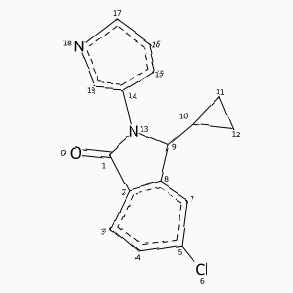 O=C1c2ccc(Cl)cc2C(C2CC2)N1c1cccnc1